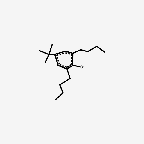 CCCCc1cc(C(C)(C)C)cc(CCCC)c1[O]